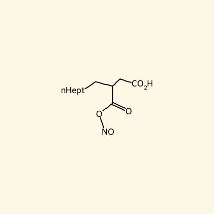 CCCCCCCCC(CC(=O)O)C(=O)ON=O